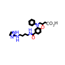 O=C(O)CC1CN(c2ccccc2)c2cc(C(=O)NCCCCNc3ncc[nH]3)ccc2O1